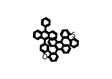 c1ccc(-c2c3ccccc3c(-c3ccc4oc5cccc(-c6c7ccccc7c(-c7cccc8sc9ccccc9c78)c7ccccc67)c5c4c3)c3ccccc23)cc1